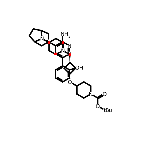 CC(C)(C)OC(=O)N1CCC(O[C@H]2C[C@H](CN3CCC(N4C5CCC4CN(c4cc(-c6ccccc6O)nnc4N)C5)CC3)C2)CC1